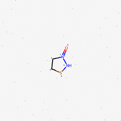 O=[N+]1C[CH]SN1